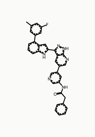 Cc1cc(F)cc(-c2cccc3[nH]c(-c4n[nH]c5ncc(-c6cncc(NC(=O)Cc7ccccc7)c6)cc45)cc23)c1